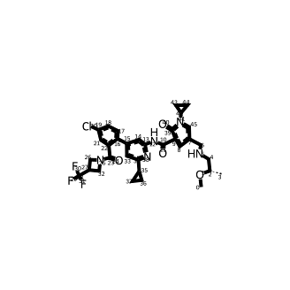 CO[C@@H](C)CNCc1cc(C(=O)Nc2cc(-c3ccc(Cl)cc3C(=O)N3CC(C(F)(F)F)C3)cc(C3CC3)n2)c(=O)n(C2CC2)c1